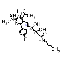 CCCCNC(=O)C[C@H](O)C[C@H](O)/C=C/c1c(-c2ccc(F)cc2)nc(N(C)C)nc1C(C)C